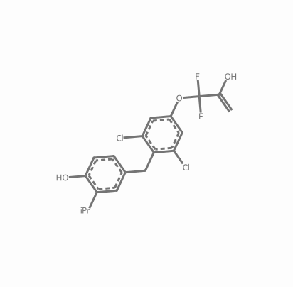 C=C(O)C(F)(F)Oc1cc(Cl)c(Cc2ccc(O)c(C(C)C)c2)c(Cl)c1